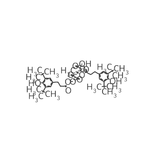 CC(C)(C)c1cc(CCC(=O)OOS(=O)(=O)C(C)(OC(=O)CCc2cc(C(C)(C)C)c(O)c(C(C)(C)C)c2)S(=O)(=O)O)cc(C(C)(C)C)c1O